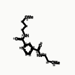 COCCCNC(=O)c1cc(C(=O)NCCOC)ccn1